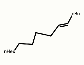 C[CH]CCCCCCCCC=CCCCC